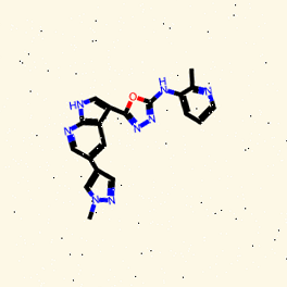 Cc1ncccc1Nc1nnc(-c2c[nH]c3ncc(-c4cnn(C)c4)cc23)o1